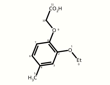 CCOc1cc(C)ccc1OCC(=O)O